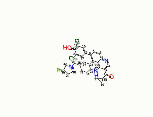 O=C(c1cnc2ccc(-c3cc(Cl)c(O)c(Cl)c3)cc2c1NC1CCC(CN2CC[C@@H](F)C2)CC1)C1CC1